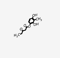 CCC(=O)CC(=O)Oc1ccc(O)c(C)c1O